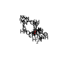 C=C1OPOCCn2c(nc3cncnc32)COP(=O)(S)O[C@@H]2[C@H](F)[C@@H]1O[C@H]2n1nnc2c(=O)[nH]c(N)nc21